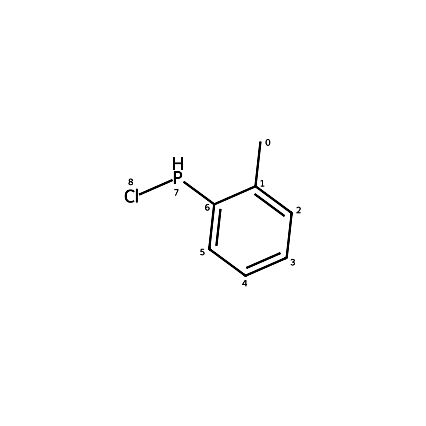 Cc1ccccc1PCl